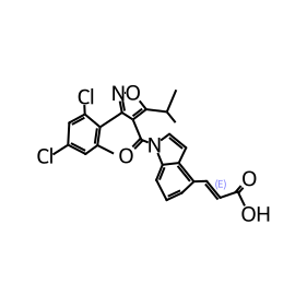 Cc1cc(Cl)cc(Cl)c1-c1noc(C(C)C)c1C(=O)n1ccc2c(/C=C/C(=O)O)cccc21